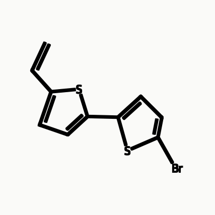 C=Cc1ccc(-c2ccc(Br)s2)s1